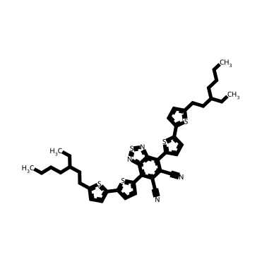 CCCCC(CC)CCc1ccc(-c2ccc(-c3c(C#N)c(C#N)c(-c4ccc(-c5ccc(CCC(CC)CCCC)s5)s4)c4nsnc34)s2)s1